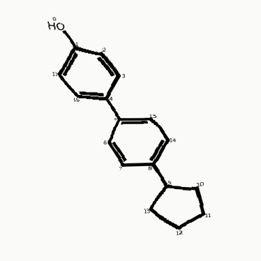 Oc1ccc(-c2ccc(C3CCCC3)cc2)cc1